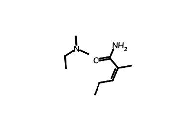 CCC=C(C)C(N)=O.CCN(C)C